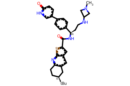 CN1CC(NCC[C@@H](NC(=O)c2cc3cc4c(nc3s2)CC[C@H](C(C)(C)C)C4)c2ccc(-c3ccc(=O)[nH]c3)cc2)C1